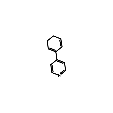 C1=CC(c2ccncc2)=CCC1